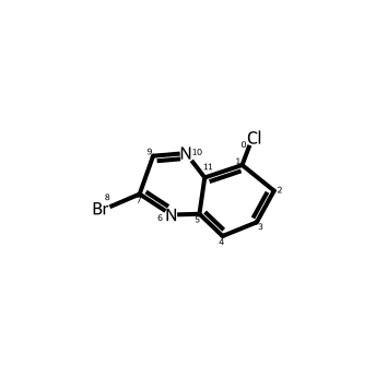 Clc1cccc2nc(Br)cnc12